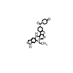 CCOc1cc2[nH]ncc2cc1Nc1ncnc2sc3c(c12)CC[C@H](C(=O)N1CCC(=O)CC1)C3